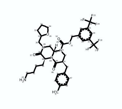 Cc1ccc(C[C@@H]2CN(C(=O)OCc3cc(C(F)(F)F)cc(C(F)(F)F)c3)[C@H]3CN(CC4CCCO4)C(=O)[C@H](CCCCN)N3C2=O)cc1